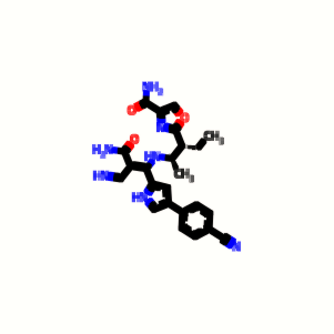 CC[C@@H](c1nc(C(N)=O)co1)[C@@H](C)N/C(=C(/C=N)C(N)=O)c1cc(-c2ccc(C#N)cc2)c[nH]1